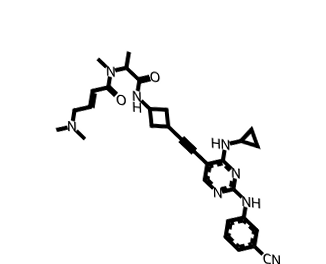 CC(C(=O)NC1CC(C#Cc2cnc(Nc3cccc(C#N)c3)nc2NC2CC2)C1)N(C)C(=O)C=CCN(C)C